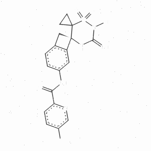 CN1C(=N)N[C@@]2(Cc3ccc(NC(=O)c4ccc(Cl)cn4)cc32)C2(CC2)S1(=O)=O